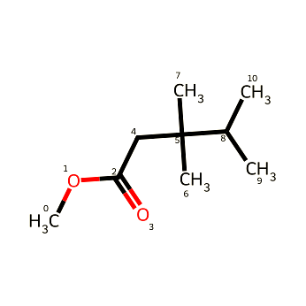 COC(=O)CC(C)(C)C(C)C